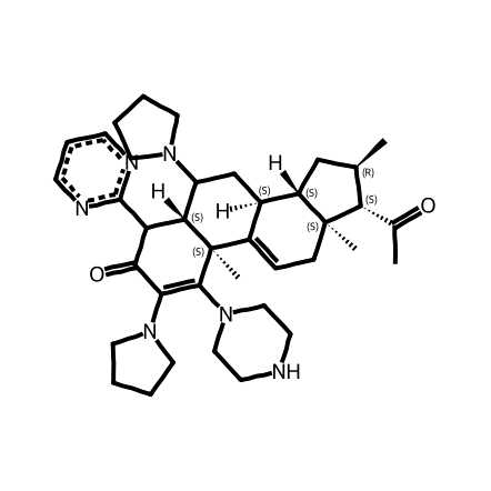 CC(=O)[C@H]1[C@H](C)C[C@H]2[C@@H]3CC(N4CCCC4)[C@H]4C(c5ncccn5)C(=O)C(N5CCCC5)=C(N5CCNCC5)[C@]4(C)C3=CC[C@@]21C